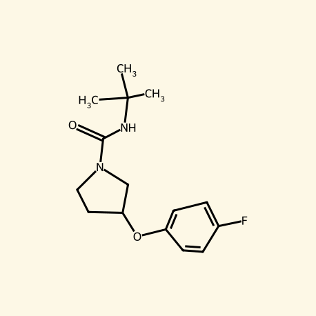 CC(C)(C)NC(=O)N1CCC(Oc2ccc(F)cc2)C1